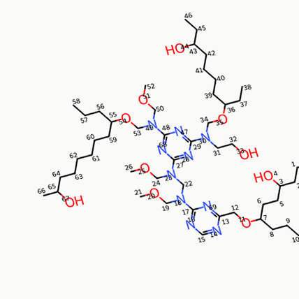 CCCC(O)CCC(CCC)OCc1ncnc(N(COC)CN(COC)c2nc(N(CCO)COC(CC)CCCCC(O)CC)nc(N(COC)COC(CCC)CCCCCCC(C)O)n2)n1